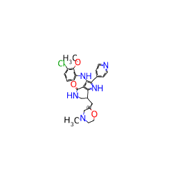 COc1c(Cl)cccc1Nc1c(-c2ccncc2)[nH]c2c1C(=O)NCC2C[C@@H]1CN(C)CCO1